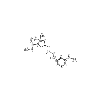 CC(C)(C)OC(=O)N1CC(CC(F)CNc2cccc(SN)n2)CC1(C)C